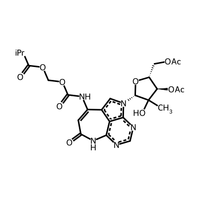 CC(=O)OC[C@H]1O[C@@H](n2cc3c4c(ncnc42)NC(=O)C=C3NC(=O)OCOC(=O)C(C)C)C(C)(O)[C@@H]1OC(C)=O